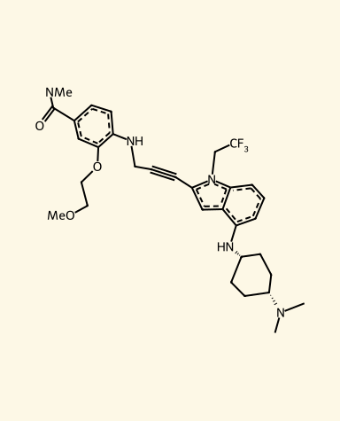 CNC(=O)c1ccc(NCC#Cc2cc3c(N[C@H]4CC[C@@H](N(C)C)CC4)cccc3n2CC(F)(F)F)c(OCCOC)c1